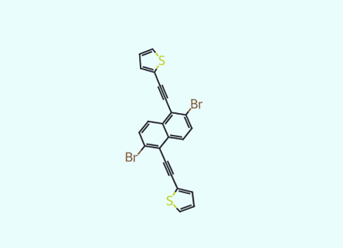 Brc1ccc2c(C#Cc3cccs3)c(Br)ccc2c1C#Cc1cccs1